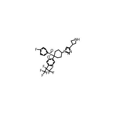 O=S(=O)(c1ccc(F)cc1)C1(c2ccc(C(F)(C(F)(F)F)C(F)(F)F)cc2)CCC(n2cc(C3CNC3)nn2)CC1